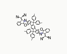 Cc1ccc(C2(c3ccc(C)cc3)c3cc4c(cc3-c3sc(/N=C5\C(=O)c6ccccc6C5=C(C#N)C#N)cc32)C(c2ccc(C)cc2)(c2ccc(C)cc2)c2cc(/N=C3\C(=O)c5ccccc5C3=C(C#N)C#N)sc2-4)cc1